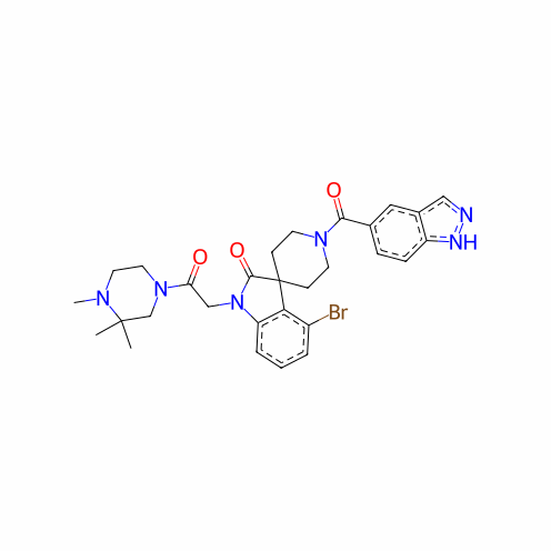 CN1CCN(C(=O)CN2C(=O)C3(CCN(C(=O)c4ccc5[nH]ncc5c4)CC3)c3c(Br)cccc32)CC1(C)C